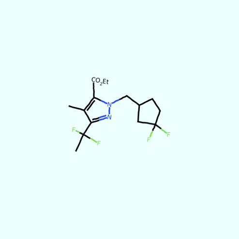 CCOC(=O)c1c(C)c(C(C)(F)F)nn1CC1CCC(F)(F)C1